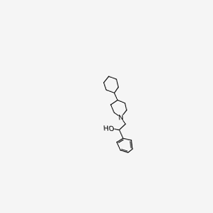 OC(CN1CCC(C2CCCCC2)CC1)c1ccccc1